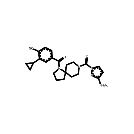 CC(=O)Nc1ccn(C(=O)N2CCC3(CCCN3C(=O)c3ccc(C#N)c(C4CC4)c3)CC2)n1